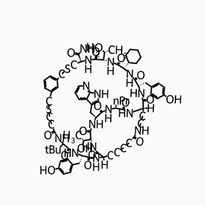 CCC[C@@H]1NC(=O)[C@H](Cc2c[nH]c3ncccc23)NC(=O)[C@@H]([C@@H](C)O)NC(=O)[C@@H]2CCCCC(=O)NCC[C@H](NC1=O)C(=O)N[C@@H](Cc1ccc(O)cc1)C(=O)N[C@@H](C1CCCCC1)C(=O)N[C@@H]([C@@H](C)O)C(=O)N[C@H](C(N)=O)CSCc1cccc(c1)CSCCC(=O)NC(C(C)(C)C)C(=O)N[C@@H](Cc1ccc(O)cc1)C(=O)N2